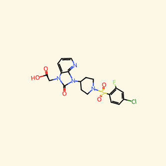 O=C(O)Cn1c(=O)n(C2CCN(S(=O)(=O)c3ccc(Cl)cc3F)CC2)c2ncccc21